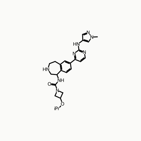 CC(C)OC1CN(C(=O)NC2CNCCc3cc(-c4ccnc(Nc5cnn(C)c5)n4)ccc32)C1